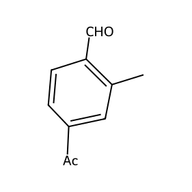 CC(=O)c1ccc(C=O)c(C)c1